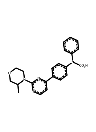 CC1COCCN1c1nccc(-c2ccc(N(C(=O)O)c3ccccc3)cc2)n1